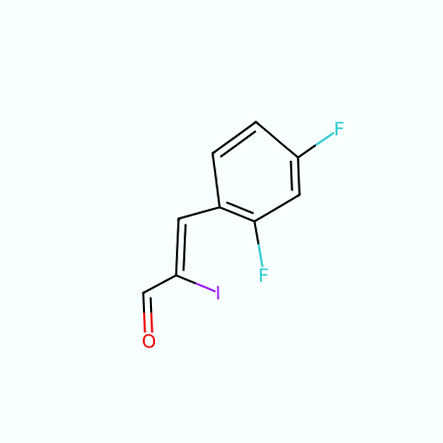 O=C/C(I)=C/c1ccc(F)cc1F